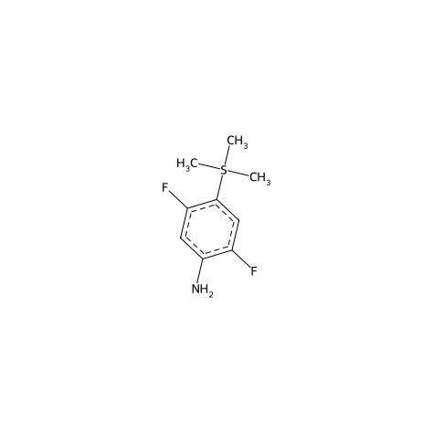 CS(C)(C)c1cc(F)c(N)cc1F